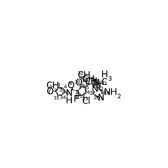 COc1ccc(NC(=O)c2c(F)c(Cl)cc([C@H](C)c3nc(C)c4c(N)nccn34)c2OC(C)C)cc1